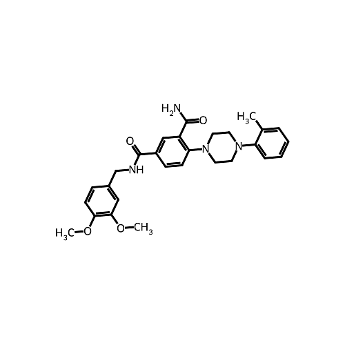 COc1ccc(CNC(=O)c2ccc(N3CCN(c4ccccc4C)CC3)c(C(N)=O)c2)cc1OC